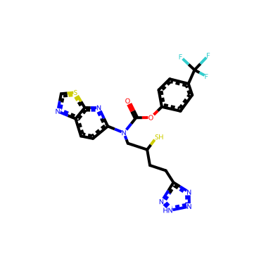 O=C(Oc1ccc(C(F)(F)F)cc1)N(CC(S)CCc1nn[nH]n1)c1ccc2ncsc2n1